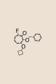 O=c1c(F)cccc(OC2CCC2)c1OCc1ccccc1